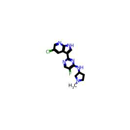 CN1CCC(Nc2nc(-c3c[nH]c4ncc(Cl)cc34)ncc2F)C1